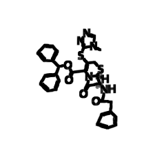 Cn1cnnc1SC1=C(C(=O)OC(c2ccccc2)c2ccccc2)N2C(=O)[C@@H](NC(=O)Cc3ccccc3)[C@@H]2SC1